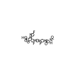 CC(=O)NC[C@H]1CN(c2ccc(N3CCN(c4cc5c(cc4F)c(=O)c(C(=O)O)cn5-c4ccc(F)cn4)CC3)c(F)c2)C(=O)O1